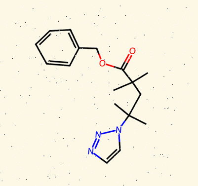 CC(C)(CC(C)(C)n1ccnn1)C(=O)OCc1ccccc1